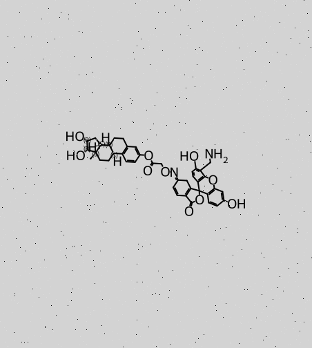 C[C@]12CC[C@@H]3c4ccc(OC(=O)CON=C5C=CC6=C(C5)C5(OC6=O)c6ccc(O)cc6Oc6c5ccc(O)c6CN)cc4CC[C@H]3[C@@H]1C[C@@H](O)[C@@H]2O